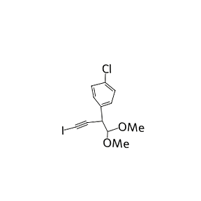 COC(OC)C(C#CI)c1ccc(Cl)cc1